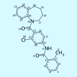 Cc1ccccc1C(=O)Nc1ccc(C(=O)N2CCCCc3ccccc32)c(Cl)c1